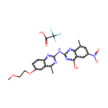 COCCOc1ccc2nc(Nc3nc(O)c4cc([N+](=O)[O-])cc(C)c4n3)nc(C)c2c1.O=C(O)C(F)(F)F